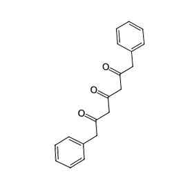 O=C(CC(=O)Cc1ccccc1)CC(=O)Cc1ccccc1